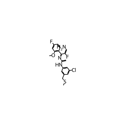 C=C(/N=C(\C(F)=C/N)c1ccc(F)cc1OC)Nc1cc(Cl)cc(CSC)c1